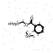 CCCCCCCCOC(=O)c1ccccc1.[CH3][Sn][CH3]